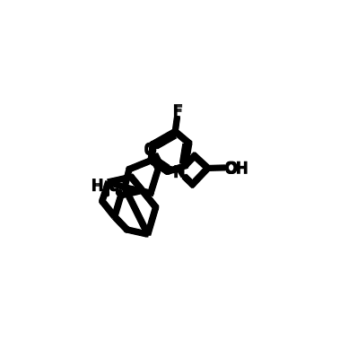 CC1C2CC3CC1CC(C2)C3(CC(=O)N1CC(O)C1)Cc1cccc(F)c1